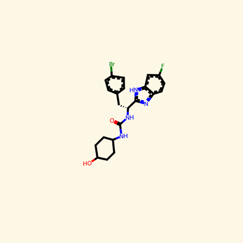 O=C(NC1CCC(O)CC1)N[C@H](Cc1ccc(Br)cc1)c1nc2ccc(F)cc2[nH]1